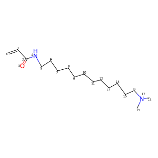 C=CC(=O)NCCCCCCCCCCCCN(C)C